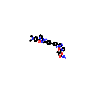 CCN(CC)[C@H]1CC[C@@H](C(=O)N2CCC[C@H]2c2ncc(-c3ccc(-c4ccc(-c5cnc([C@@H]6CCCN6C(=O)[C@@H](OC(N)=O)C(C)C)[nH]5)cc4)cc3)[nH]2)CC1